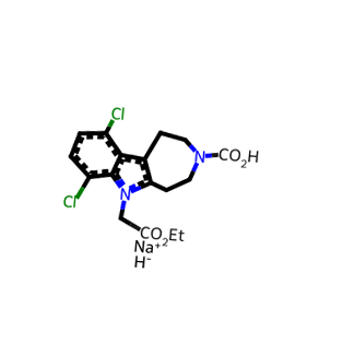 CCOC(=O)Cn1c2c(c3c(Cl)ccc(Cl)c31)CCN(C(=O)O)CC2.[H-].[Na+]